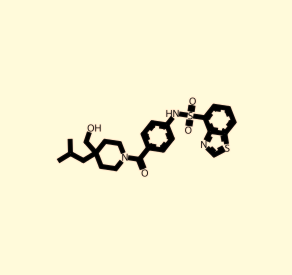 CC(C)CC1(CO)CCN(C(=O)c2ccc(NS(=O)(=O)c3cccc4scnc34)cc2)CC1